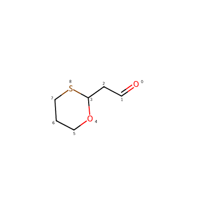 O=CCC1OCCCS1